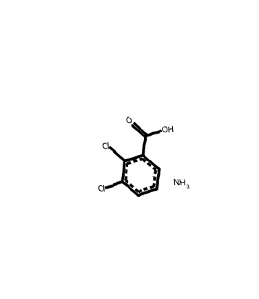 N.O=C(O)c1cccc(Cl)c1Cl